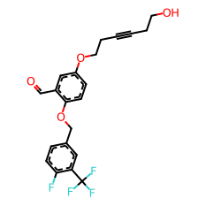 O=Cc1cc(OCCC#CCCO)ccc1OCc1ccc(F)c(C(F)(F)F)c1